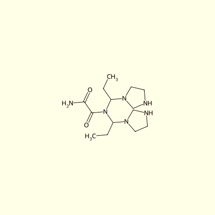 CCC(N1CCNC1)N(C(=O)C(N)=O)C(CC)N1CCNC1